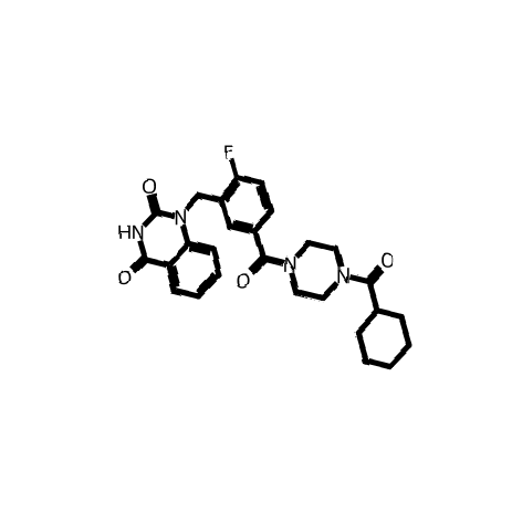 O=C(c1ccc(F)c(Cn2c(=O)[nH]c(=O)c3ccccc32)c1)N1CCN(C(=O)C2CCCCC2)CC1